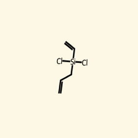 C=CC[Si](Cl)(Cl)C=C